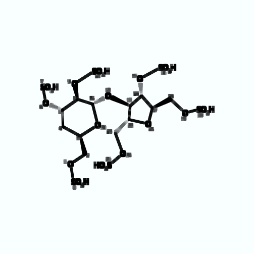 O=S(=O)(O)OC[C@H]1C[C@H](OS(=O)(=O)O)[C@@H](OS(=O)(=O)O)[C@H](O[C@H]2[C@H](OS(=O)(=O)O)[C@@H](COS(=O)(=O)O)O[C@@H]2COS(=O)(=O)O)O1